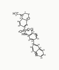 CN1CCOC2C=C(S(=O)(=O)Nc3cc(-c4ccc5ncccc5c4)cnc3Cl)C=CC21